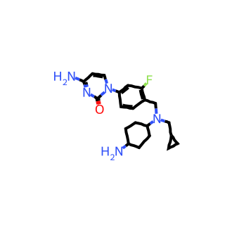 Nc1ccn(-c2ccc(CN(CC3CC3)C3CCC(N)CC3)c(F)c2)c(=O)n1